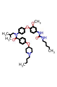 CCCCCNC(=O)Nc1ccc(Oc2ccc(N(CC(C)C)C(=O)c3ccc(OC4CCN(CCCC)CC4)cc3)cc2)c(OC)c1